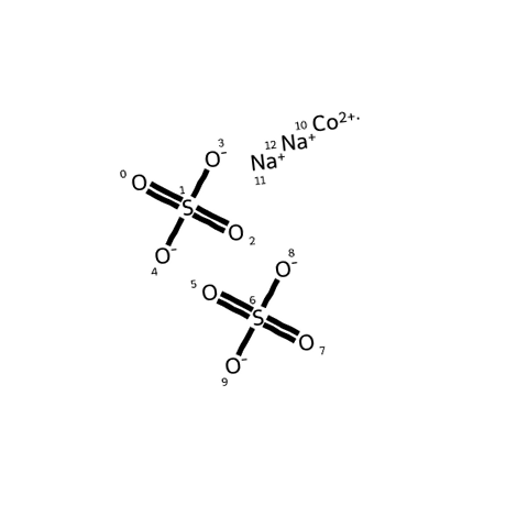 O=S(=O)([O-])[O-].O=S(=O)([O-])[O-].[Co+2].[Na+].[Na+]